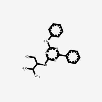 CC(C)C(CO)Nc1nc(Nc2ccccc2)nc(-c2ccccc2)n1